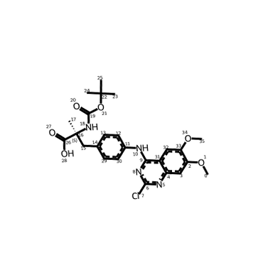 COc1cc2nc(Cl)nc(Nc3ccc(C[C@](C)(NC(=O)OC(C)(C)C)C(=O)O)cc3)c2cc1OC